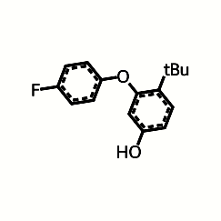 CC(C)(C)c1ccc(O)cc1Oc1ccc(F)cc1